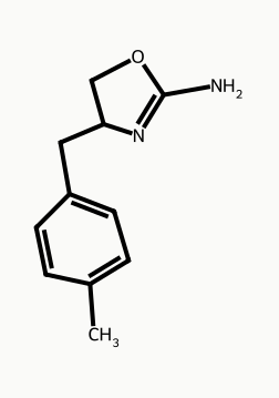 Cc1ccc(CC2COC(N)=N2)cc1